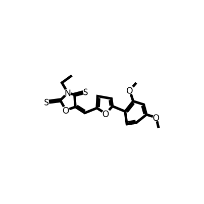 CCN1C(=S)OC(=Cc2ccc(-c3ccc(OC)cc3OC)o2)C1=S